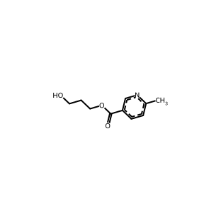 Cc1ccc(C(=O)OCCCO)cn1